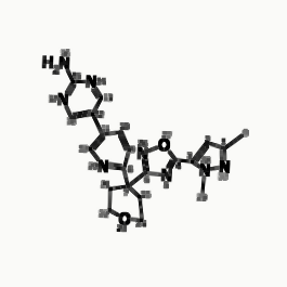 Cc1cc(-c2nc(C3(c4ccc(-c5cnc(N)nc5)cn4)CCOCC3)no2)n(C)n1